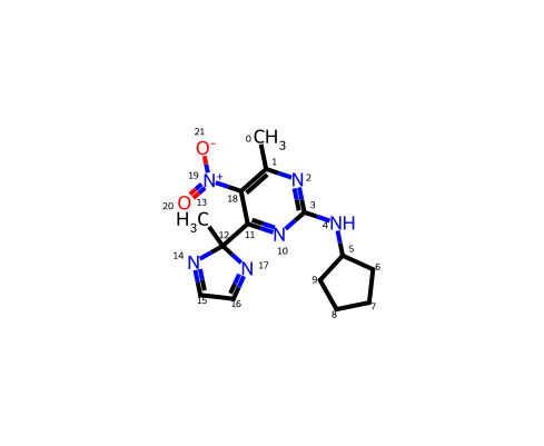 Cc1nc(NC2CCCC2)nc(C2(C)N=CC=N2)c1[N+](=O)[O-]